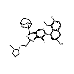 CCc1c(F)ccc2cc(O)cc(-n3ncc4c(N5CC6CCC5CN6)nc(OC[C@@H]5CCCN5C)nc4c3=O)c12